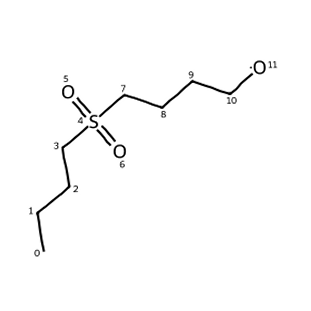 CCCCS(=O)(=O)CCCC[O]